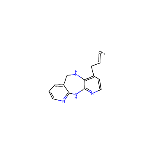 C=CCc1ccnc2c1NCc1cccnc1N2